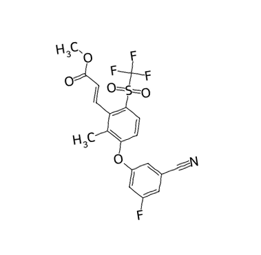 COC(=O)/C=C/c1c(S(=O)(=O)C(F)(F)F)ccc(Oc2cc(F)cc(C#N)c2)c1C